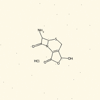 Cl.NC1C(=O)N2C3=C(CSC12)C(O)OC3=O